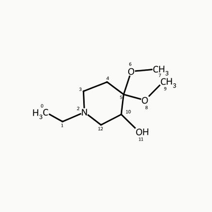 CCN1CCC(OC)(OC)C(O)C1